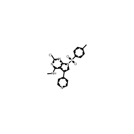 CNc1nc(Cl)nc2c1c(-c1ccncc1)cn2S(=O)(=O)c1ccc(C)cc1